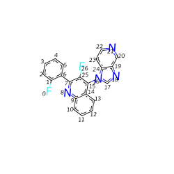 Fc1ccccc1-c1nc2ccccc2c(-n2cnc3cnccc32)c1F